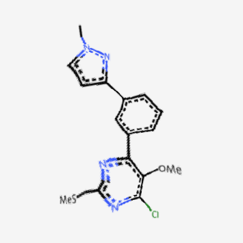 COc1c(Cl)nc(SC)nc1-c1cccc(-c2ccn(C)n2)c1